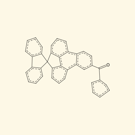 O=C(c1ccccc1)c1ccc2c(c1)c1cccc3c1c1c(cccc21)C31c2ccccc2-c2ccccc21